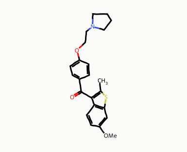 COc1ccc2c(C(=O)c3ccc(OCCN4CCCC4)cc3)c(C)sc2c1